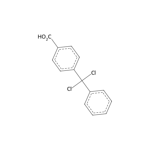 O=C(O)c1ccc(C(Cl)(Cl)c2ccccc2)cc1